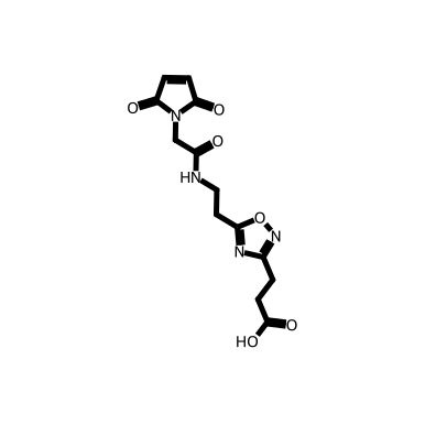 O=C(O)CCc1noc(CCNC(=O)CN2C(=O)C=CC2=O)n1